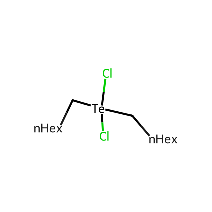 CCCCCCC[Te](Cl)(Cl)CCCCCCC